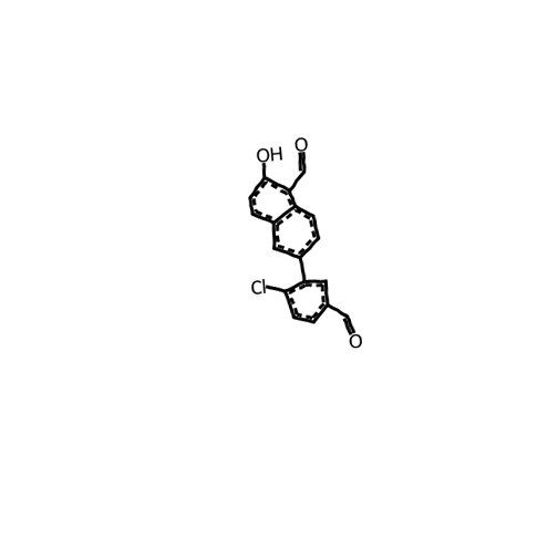 O=Cc1ccc(Cl)c(-c2ccc3c(C=O)c(O)ccc3c2)c1